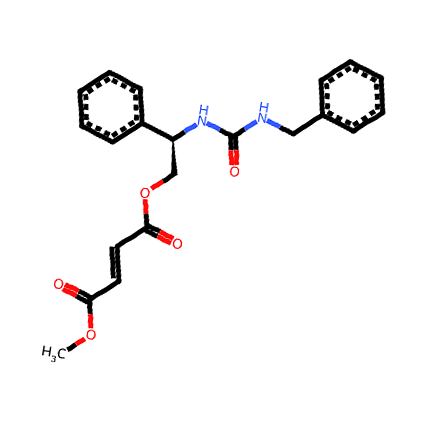 COC(=O)/C=C/C(=O)OC[C@H](NC(=O)NCc1ccccc1)c1ccccc1